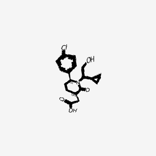 O=C(O)C[C@H]1CC[C@@H](c2ccc(Cl)cc2)N(C(CO)C2CC2)C1=O